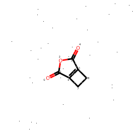 O=C1OC(=O)C2=C1CC2